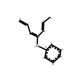 C=C/C=C(\C=CC)Oc1ccccc1